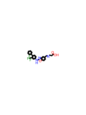 O=C(O)CCN=Cc1ccc2oc(Nc3ccc(-c4ccccc4)c(C(F)(F)F)c3)nc2c1